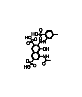 CC(=O)Nc1cc(S(=O)(=O)O)cc2cc(S(=O)(=O)O)c(N=Nc3cc(C)ccc3S(=O)(=O)O)c(O)c12